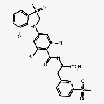 CP(=O)(CNc1cc(Cl)c(C(=O)NC(Cc2cccc(S(C)(=O)=O)c2)C(=O)O)c(Cl)c1)c1cccc(O)c1